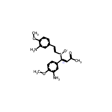 COc1ccc(C=C[S+]([O-])/C(=C\C(C)=O)c2ccc(OC)c(N)c2)cc1N